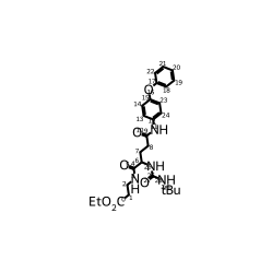 CCOC(=O)CCNC(=O)C(CCC(=O)Nc1ccc(Oc2ccccc2)cc1)NC(=O)NC(C)(C)C